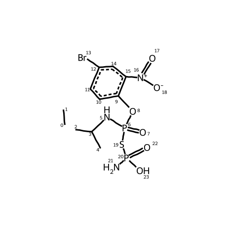 CC.CC(C)NP(=O)(Oc1ccc(Br)cc1[N+](=O)[O-])SP(N)(=O)O